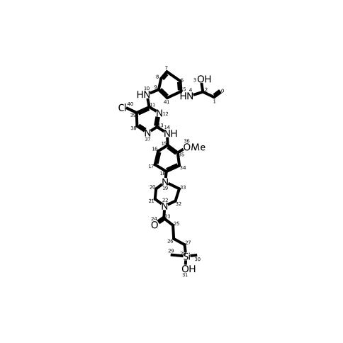 C=CC(O)Nc1cccc(Nc2nc(Nc3ccc(N4CCN(C(=O)CCC[Si](C)(C)O)CC4)cc3OC)ncc2Cl)c1